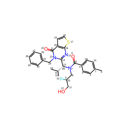 Cc1ccc(C(=O)N(C[C@H](F)CO)[C@@H](c2nc3sccc3c(=O)n2Cc2ccccc2)C(C)C)cc1